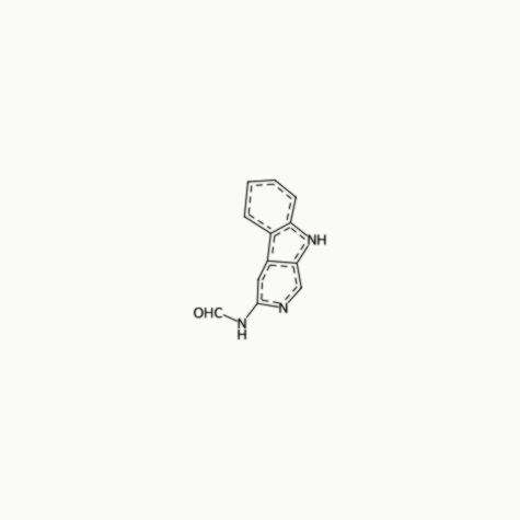 O=CNc1cc2c(cn1)[nH]c1ccccc12